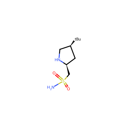 CC(C)(C)[C@@H]1CN[C@H](CS(N)(=O)=O)C1